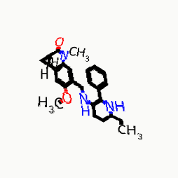 CCC1CCC(NCc2cc3c(cc2OC)[C@H]2C[C@H]2C(=O)N3C)C(c2ccccc2)N1